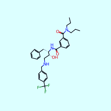 CCCN(CCC)C(=O)c1cccc(C(=O)N[C@@H](Cc2ccccc2)[C@H](O)CNCc2ccc(C(F)(F)F)cc2)c1